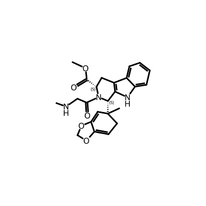 CNCC(=O)N1[C@H](C(=O)OC)Cc2c([nH]c3ccccc23)[C@@H]1C1(C)C=C2OCOC2=CC1